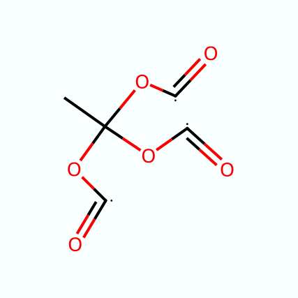 CC(O[C]=O)(O[C]=O)O[C]=O